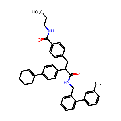 O=C(O)CCNC(=O)c1ccc(CC(C(=O)NCc2ccccc2-c2cccc(C(F)(F)F)c2)c2ccc(C3=CCCCC3)cc2)cc1